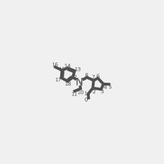 CCC1CC(C)CC1CN(CC)c1ccc(C)cc1